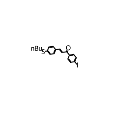 CCCCSc1ccc(C=CC(=O)c2ccc(I)cc2)cc1